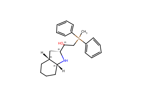 CS(C[C@H](O)[C@H]1C[C@H]2CCCC[C@H]2N1)(c1ccccc1)c1ccccc1